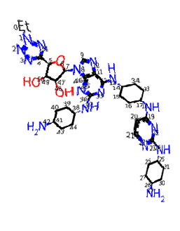 CCn1nnc([C@H]2O[C@@H](n3cnc4c(N[C@H]5CC[C@H](Nc6ccnc(N[C@H]7CC[C@H](N)CC7)n6)CC5)nc(N[C@H]5CC[C@H](N)CC5)nc43)[C@@H](O)[C@H]2O)n1